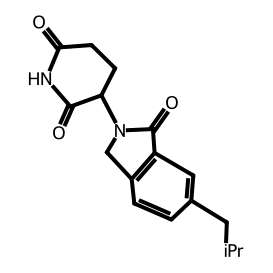 CC(C)Cc1ccc2c(c1)C(=O)N(C1CCC(=O)NC1=O)C2